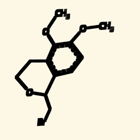 COc1ccc2c(c1OC)CCOC2CBr